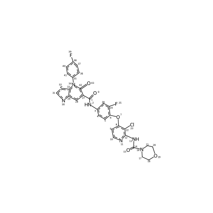 O=C(Nc1ccc(Oc2ccnc(NC(=O)N3CCOCC3)c2Cl)c(F)c1)c1cc2ncsc2n(-c2ccc(F)cc2)c1=O